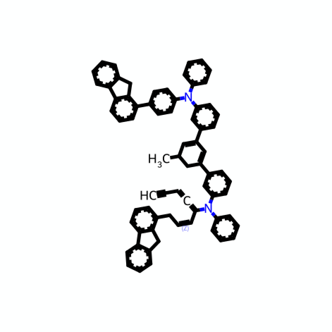 C#CC=C=C(/C=C\Cc1cccc2c1Cc1ccccc1-2)N(c1ccccc1)c1cccc(C2=CC(c3cccc(N(c4ccccc4)c4ccc(-c5cccc6c5Cc5ccccc5-6)cc4)c3)=CC(C)C2)c1